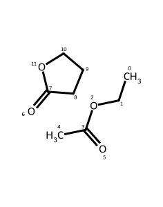 CCOC(C)=O.O=C1CCCO1